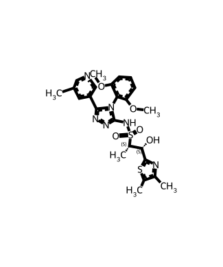 COc1cccc(OC)c1-n1c(NS(=O)(=O)[C@@H](C)[C@H](O)c2nc(C)c(C)s2)nnc1-c1cncc(C)c1